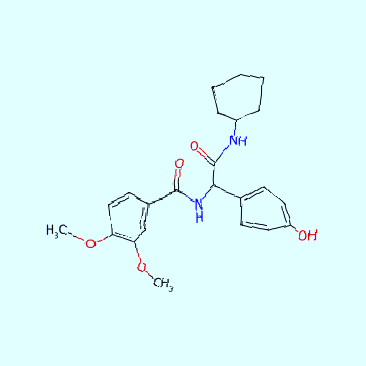 COc1ccc(C(=O)NC(C(=O)NC2CCCCC2)c2ccc(O)cc2)cc1OC